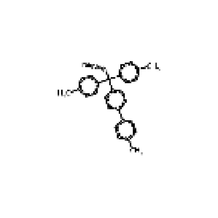 Cc1ccc(-c2ccc(C(N=[N+]=[N-])(c3ccc(C)cc3)c3ccc(C)cc3)cc2)cc1